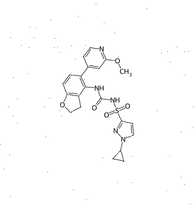 COc1cc(-c2ccc3c(c2NC(=O)NS(=O)(=O)c2ccn(C4CC4)n2)CCO3)ccn1